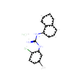 CCc1ccc(Br)c(NC(=N)Nc2cccc3ccccc23)c1.Cl